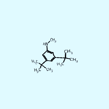 CNc1cc(C(C)(C)C)cc(C(C)(C)C)c1